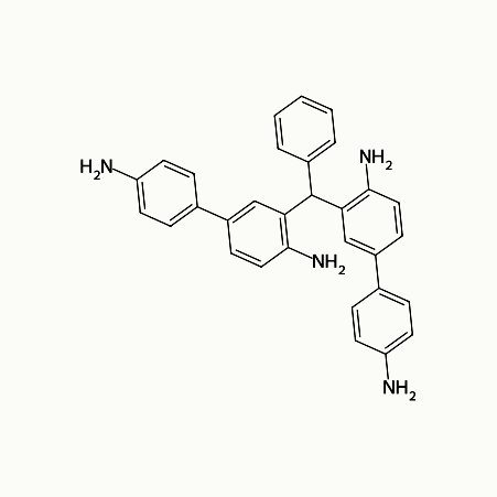 Nc1ccc(-c2ccc(N)c(C(c3ccccc3)c3cc(-c4ccc(N)cc4)ccc3N)c2)cc1